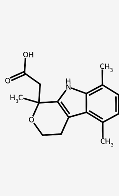 Cc1ccc(C)c2c3c([nH]c12)C(C)(CC(=O)O)OCC3